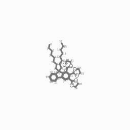 CCCCCCCCC1(CCCCCCCC)c2ccccc2-c2cc(C3OCCO3)c(C3OCCO3)c(C3OCCO3)c21